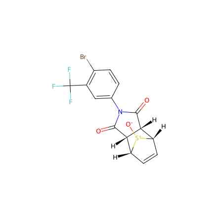 O=C1[C@@H]2[C@H](C(=O)N1c1ccc(Br)c(C(F)(F)F)c1)[C@@H]1C=C[C@H]2[S+]1[O-]